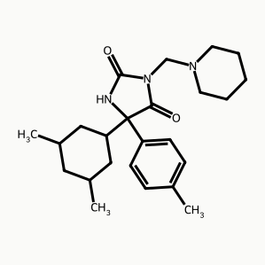 Cc1ccc(C2(C3CC(C)CC(C)C3)NC(=O)N(CN3CCCCC3)C2=O)cc1